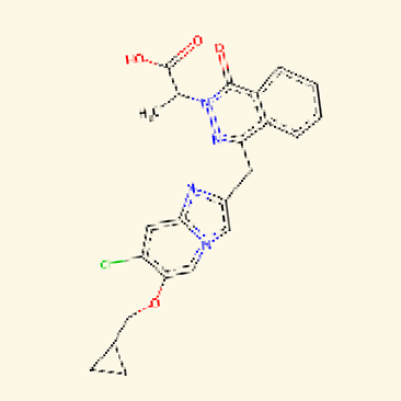 CC(C(=O)O)n1nc(Cc2cn3cc(OCC4CC4)c(Cl)cc3n2)c2ccccc2c1=O